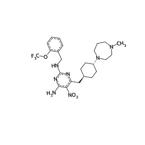 CN1CCCN([C@H]2CC[C@H](Cc3nc(NCc4ccccc4OC(F)(F)F)nc(N)c3[N+](=O)[O-])CC2)CC1